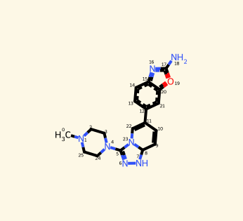 CN1CCN(C2=NNC3C=CC(c4ccc5nc(N)oc5c4)=CN23)CC1